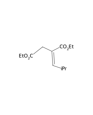 CCOC(=O)CC(=CC(C)C)C(=O)OCC